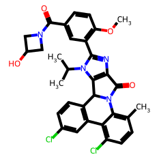 COc1ccc(C(=O)N2CC(O)C2)cc1-c1nc2c(n1C(C)C)C1c3ccc(Cl)cc3-c3c(Cl)ccc(C)c3N1C2=O